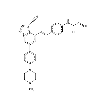 C=CC(=O)Nc1ccc(/C=C/c2cc(-c3ccc(N4CCN(C)CC4)cc3)cn3ncc(C#N)c23)cc1